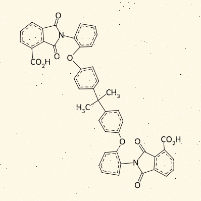 CC(C)(c1ccc(Oc2ccccc2N2C(=O)c3cccc(C(=O)O)c3C2=O)cc1)c1ccc(Oc2ccccc2N2C(=O)c3cccc(C(=O)O)c3C2=O)cc1